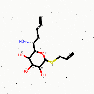 C=CCC[C@@H](N)C1OC(SCC=C)C(O)C(O)C1O